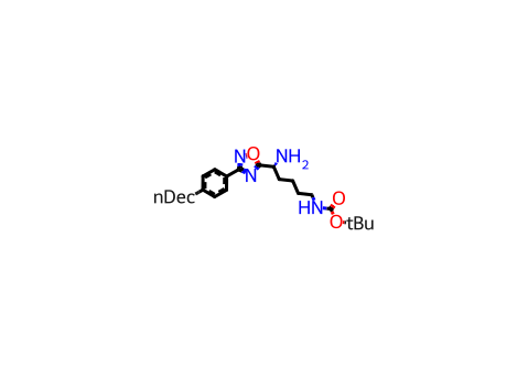 CCCCCCCCCCc1ccc(-c2noc([C@@H](N)CCCCNC(=O)OC(C)(C)C)n2)cc1